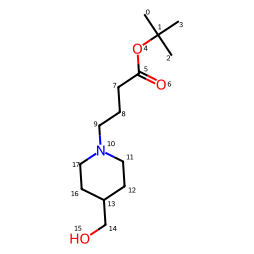 CC(C)(C)OC(=O)CCCN1CCC(CO)CC1